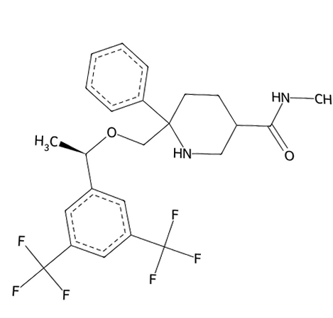 CNC(=O)C1CCC(CO[C@H](C)c2cc(C(F)(F)F)cc(C(F)(F)F)c2)(c2ccccc2)NC1